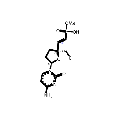 COP(=O)(O)/C=C/[C@]1(CCl)CC[C@H](n2ccc(N)nc2=O)O1